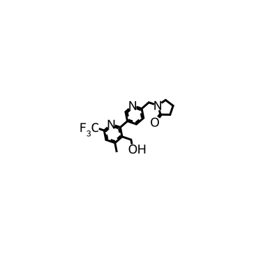 Cc1cc(C(F)(F)F)nc(-c2ccc(CN3CCCC3=O)nc2)c1CO